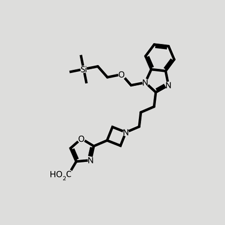 C[Si](C)(C)CCOCn1c(CCCN2CC(c3nc(C(=O)O)co3)C2)nc2ccccc21